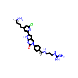 C[C@H](N)CCCc1cc(Cl)nc(-c2cc3cn(-c4ccc([C@H](C)NCCCNC(=N)N)cc4)c(=O)nc3[nH]2)c1